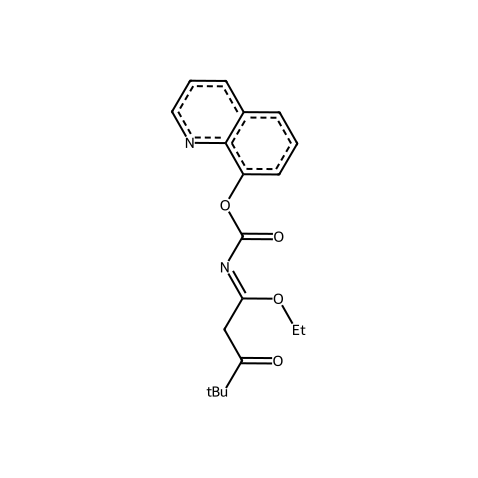 CCO/C(CC(=O)C(C)(C)C)=N\C(=O)Oc1cccc2cccnc12